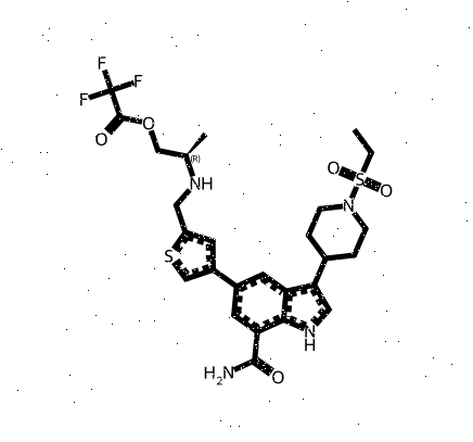 CCS(=O)(=O)N1CCC(c2c[nH]c3c(C(N)=O)cc(-c4csc(CN[C@H](C)COC(=O)C(F)(F)F)c4)cc23)CC1